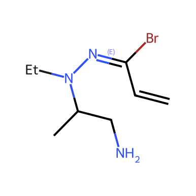 C=C/C(Br)=N\N(CC)C(C)CN